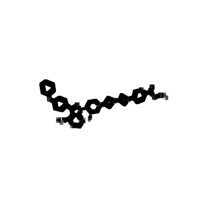 COC(=O)c1ccc(N2CC(N3CC(N4CC[C@@H](n5nc(-c6ccc(Oc7ccccc7)cc6)c6c(N)ncnc65)[C@@H](F)C4)C3)C2)cn1